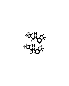 Cc1nn(C)cc1C(=O)Nc1cccc2c1CC(C)C2(C)C.Cc1nn(C)cc1C(=O)Nc1cccc2c1CC(C)C2(C)C